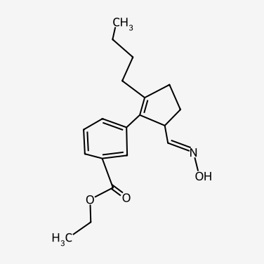 CCCCC1=C(c2cccc(C(=O)OCC)c2)C(C=NO)CC1